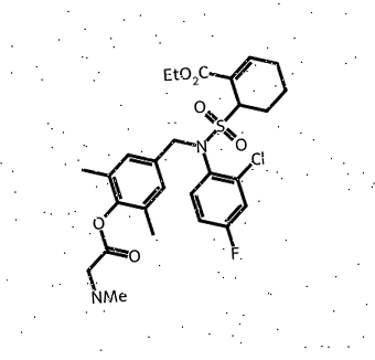 CCOC(=O)C1=CCCCC1S(=O)(=O)N(Cc1cc(C)c(OC(=O)CNC)c(C)c1)c1ccc(F)cc1Cl